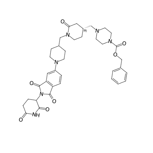 O=C1CCC(N2C(=O)c3ccc(N4CCC(CN5CC[C@@H](CN6CCN(C(=O)OCc7ccccc7)CC6)CC5=O)CC4)cc3C2=O)C(=O)N1